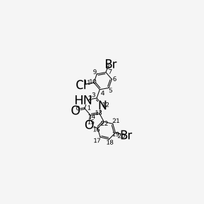 O=c1[nH]c(-c2ccc(Br)cc2Cl)nc2c1oc1ccc(Br)cc12